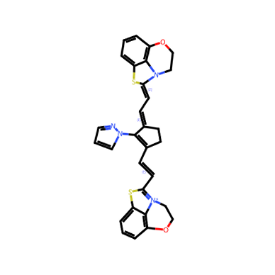 C(/C=C1\CCC(/C=C/c2sc3cccc4c3[n+]2CCO4)=C1n1cccn1)=C1/Sc2cccc3c2N1CCO3